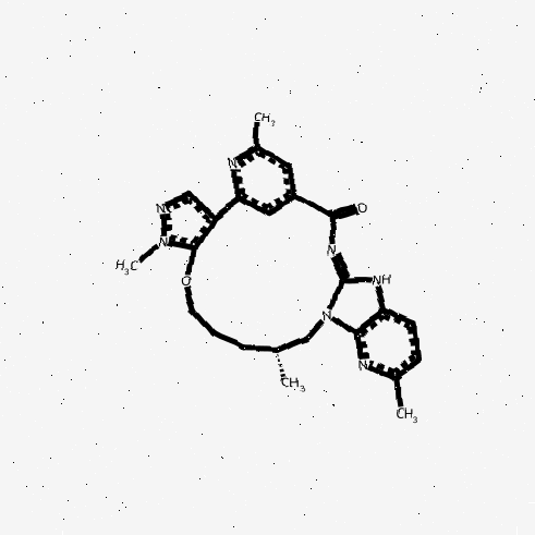 Cc1cc2cc(n1)-c1cnn(C)c1OCCC[C@@H](C)CN1/C(=N/C2=O)Nc2ccc(C)nc21